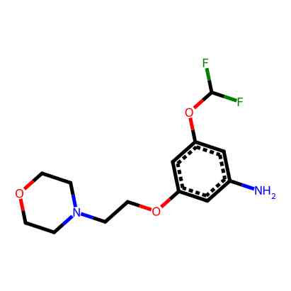 Nc1cc(OCCN2CCOCC2)cc(OC(F)F)c1